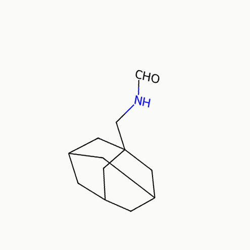 O=CNCC12CC3CC(CC(C3)C1)C2